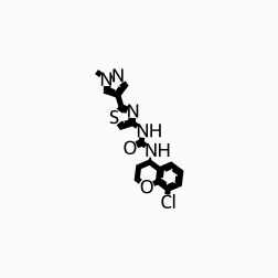 Cn1cc(-c2nc(NC(=O)N[C@H]3CCOc4c(Cl)cccc43)cs2)cn1